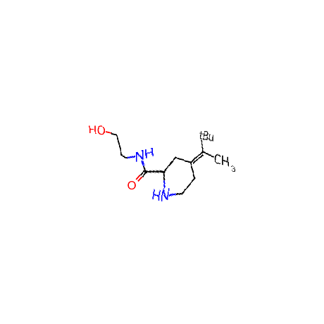 C/C(=C1\CCNC(C(=O)NCCO)C1)C(C)(C)C